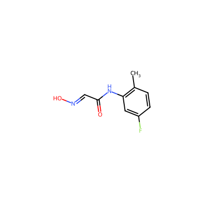 Cc1ccc(F)cc1NC(=O)C=NO